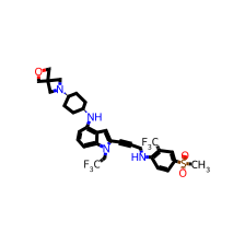 CS(=O)(=O)c1ccc(NCC#Cc2cc3c(N[C@H]4CC[C@@H](N5CC6(COC6)C5)CC4)cccc3n2CC(F)(F)F)c(C(F)(F)F)c1